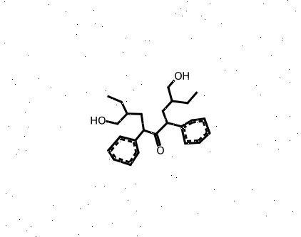 CCC(CO)CC(C(=O)C(CC(CC)CO)c1ccccc1)c1ccccc1